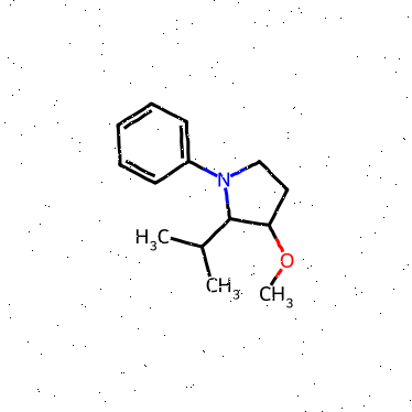 COC1CCN(c2ccccc2)C1C(C)C